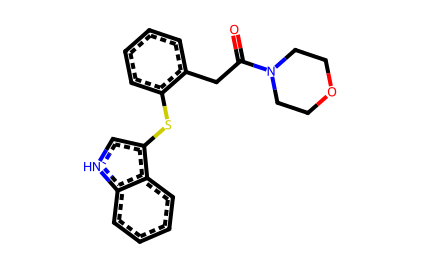 O=C(Cc1ccccc1Sc1c[nH]c2ccccc12)N1CCOCC1